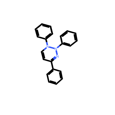 C1=CN(c2ccccc2)N(c2ccccc2)N=C1c1ccccc1